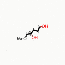 COC[C@@H](O)CCCO